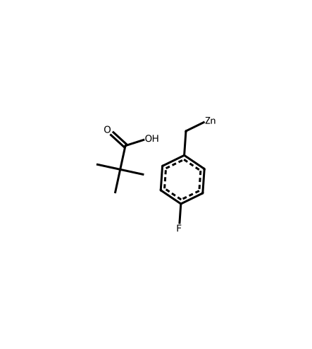 CC(C)(C)C(=O)O.Fc1ccc([CH2][Zn])cc1